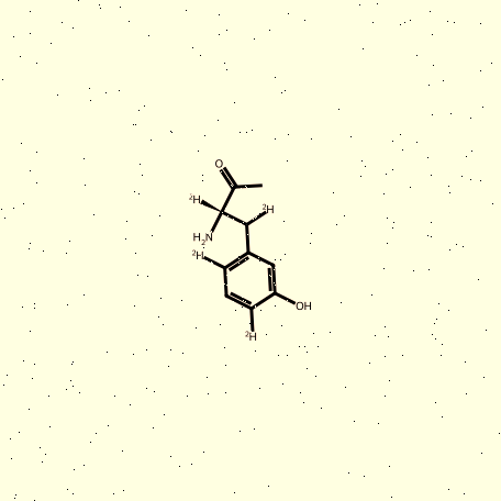 [2H]c1cc([2H])c(C([2H])[C@]([2H])(N)C(C)=O)cc1O